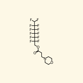 O=C(CCN1CCOCC1)OCC(F)(F)C(F)(F)C(F)(F)C(F)(F)C(F)(F)C(F)F